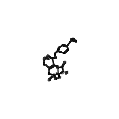 COc1ccc(COC(=O)C2=C(COC(C)=O)CS(=O)(=O)[C@H]3[C@@H](Cl)C(=O)N23)cc1